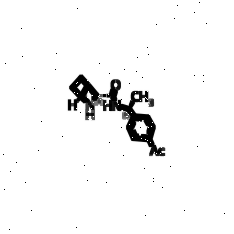 CC(=O)c1ccc([C@H](C)NC(=O)[C@@H]2N[C@H]3CCC32)cc1